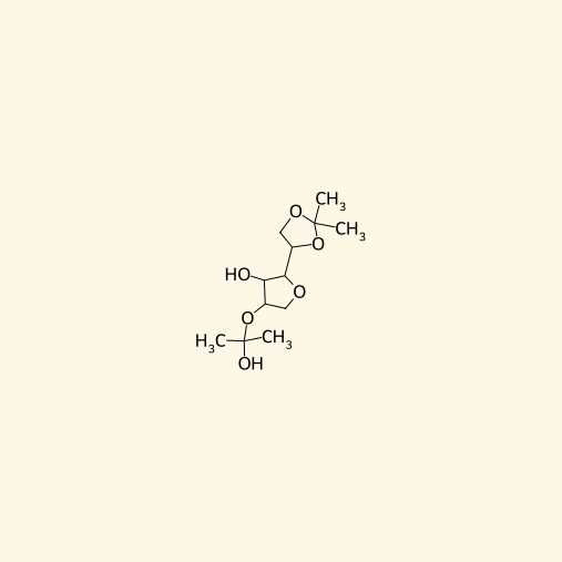 CC(C)(O)OC1COC(C2COC(C)(C)O2)C1O